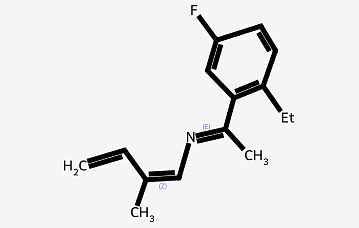 C=C/C(C)=C\N=C(/C)c1cc(F)ccc1CC